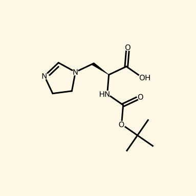 CC(C)(C)OC(=O)N[C@@H](CN1C=NCC1)C(=O)O